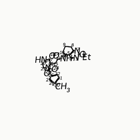 CCOc1ncc2c(n1)CCC[C@H]2NC(=O)C[C@@H]1C(=O)NCCN1S(=O)(=O)c1ccc(C)cc1